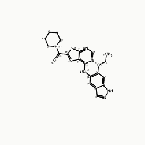 CCOc1cc2[nH]ncc2cc1Nc1ncnc2sc(C(=O)N3CCCCC3)nc12